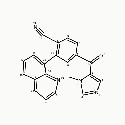 Cn1cncc1C(=O)c1ccc(C#N)c(-c2cccc3cccnc23)c1